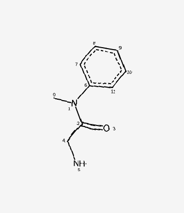 CN(C(=O)C[NH])c1ccccc1